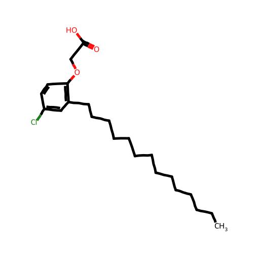 CCCCCCCCCCCCCCc1cc(Cl)ccc1OCC(=O)O